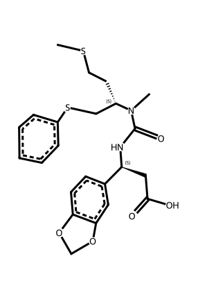 CSCC[C@@H](CSc1ccccc1)N(C)C(=O)N[C@@H](CC(=O)O)c1ccc2c(c1)OCO2